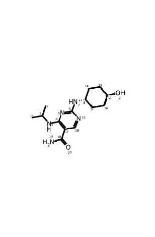 CC(C)Nc1nc(N[C@H]2CC[C@H](O)CC2)ncc1C(N)=O